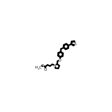 COC(=O)CCCN1CCCC1COc1ccc(Cc2ccc(-c3ccsc3)cc2)cc1